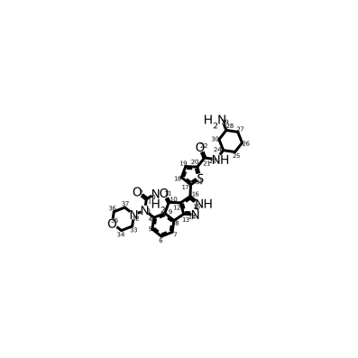 NC(=O)N(c1cccc2c1C(=O)c1c-2n[nH]c1-c1ccc(C(=O)NC2CCCC(N)C2)s1)N1CCOCC1